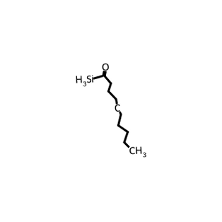 CCCCCCCCCC(=O)[SiH3]